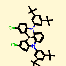 CC(C)(C)c1cc(N2c3ccc(Cl)cc3B3c4cc(Cl)ccc4N(c4cc(C(C)(C)C)cc(C(C)(C)C)c4)c4cccc2c43)cc(C(C)(C)C)c1